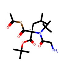 CC(=O)SC(=O)[C@@](CC(C)C)(C(=O)OC(C)(C)C)N(C(=O)CN)C(C)(C)C